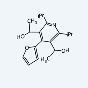 CC(C)c1nc(C(C)C)c(C(C)O)c(-c2ccco2)c1C(C)O